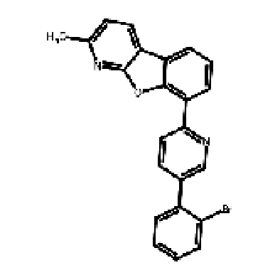 Cc1ccc2c(n1)oc1c(-c3ccc(-c4ccccc4Br)cn3)cccc12